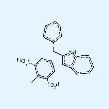 Cc1c(C(=O)O)cccc1C(=O)O.c1ccc(Cc2cc3ccccc3[nH]2)cc1